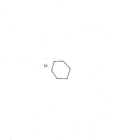 C1CCCCC1.[Li]